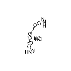 Cl.Cl.c1cc(C2=NCCN2)ccc1OCCCCCOc1ccc(-c2cc3ccc(C4=NCCN4)cc3o2)cc1